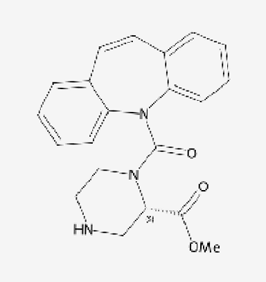 COC(=O)[C@@H]1CNCCN1C(=O)N1c2ccccc2C=Cc2ccccc21